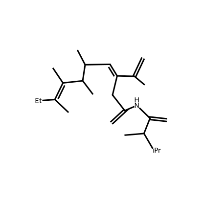 C=C(C/C(=C\C(C)C(C)/C(C)=C(\C)CC)C(=C)C)NC(=C)C(C)C(C)C